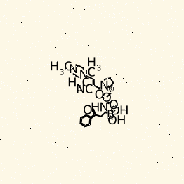 CN1CCN(C(C)(C)C=C(C#N)C(=O)N2CCC[C@@H]2COC(=O)NC(Cc2coc3ccccc23)B(O)O)CC1